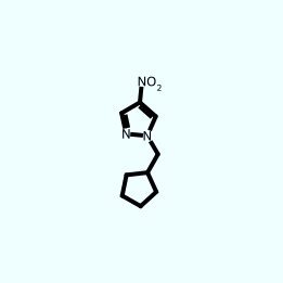 O=[N+]([O-])c1cnn(CC2CCCC2)c1